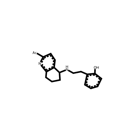 CC(=O)c1ccc2c(n1)CCCC2NCCc1ccccc1O